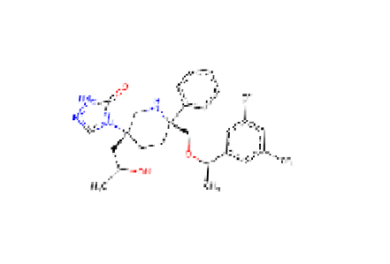 C[C@@H](O)C[C@]1(n2cn[nH]c2=O)CC[C@@](CO[C@H](C)c2cc(C(F)(F)F)cc(C(F)(F)F)c2)(c2ccccc2)NC1